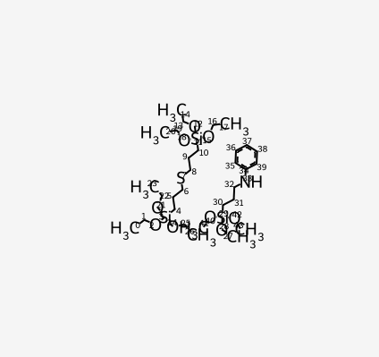 CCO[Si](CCCSCCC[Si](OCC)(OCC)OCC)(OCC)OCC.CO[Si](CCCNc1ccccc1)(OC)OC